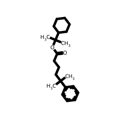 CC(C)(CCCC(=O)OC(C)(C)C1CCCCC1)c1ccccc1